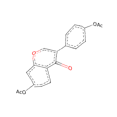 CC(=O)Oc1ccc(-c2coc3cc(OC(C)=O)ccc3c2=O)cc1